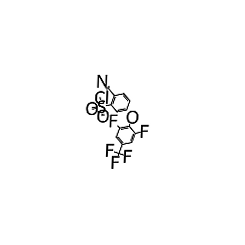 N#Cc1ccc(Oc2c(F)cc(C(F)(F)F)cc2F)cc1S(=O)(=O)Cl